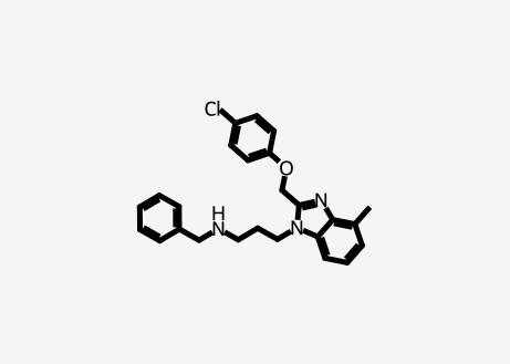 Cc1cccc2c1nc(COc1ccc(Cl)cc1)n2CCCNCc1ccccc1